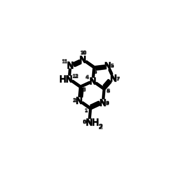 Nc1nc2n3c(nnc3n1)N=NN2